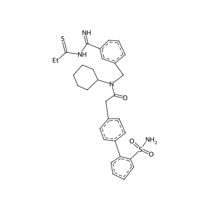 CCC(=S)NC(=N)c1cccc(CN(C(=O)Cc2ccc(-c3ccccc3S(N)(=O)=O)cc2)C2CCCCC2)c1